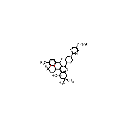 CCCCCc1cnc(N2CCC(c3nc4c(c(C5CCC(F)(F)CC5)c3C(F)c3ccc(C(F)(F)F)cc3)[C@@H](O)CC(C)(C)C4)CC2)nc1